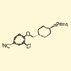 CCCCC[C@H]1CC[C@H](COc2ccc(C#N)cc2Cl)CC1